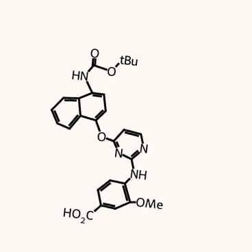 COc1cc(C(=O)O)ccc1Nc1nccc(Oc2ccc(NC(=O)OC(C)(C)C)c3ccccc23)n1